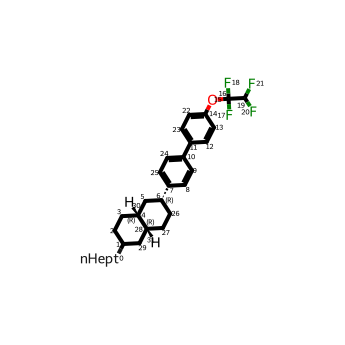 CCCCCCCC1CC[C@@H]2C[C@H](c3ccc(-c4ccc(OC(F)(F)C(F)F)cc4)cc3)CC[C@@H]2C1